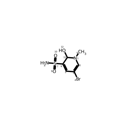 CN1C=C(Br)C=C(S(N)(=O)=O)C1O